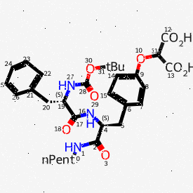 CCCCCNC(=O)[C@H](Cc1ccc(OC(C(=O)O)C(=O)O)cc1)NC(=O)[C@H](Cc1ccccc1)NC(=O)OC(C)(C)C